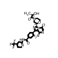 C[C@@H](O)C(=O)N1CCO[C@@H](c2nc(-c3ccc(C(=O)Nc4cc(C(F)(F)F)ccn4)cc3)c3c(N)ncc(Cl)n23)C1